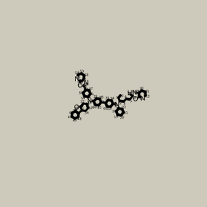 C=C/C(=C\C=C\C1(C)Nc2cccnc2O1)N(c1ccccc1)c1ccc(-c2ccc(N(C3=CCC4C(=C3)Oc3ccccc34)c3ccc(-c4nc5cccnc5o4)cc3)cc2)cc1